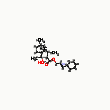 Cc1ccc(C(C)(O)C(C(=O)OC/C=C/c2ccccc2)C(C)C)cc1